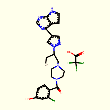 N#CCC(CN1CCN(C(=O)c2ccc(O)cc2F)CC1)n1cc(-c2ncnc3[nH]ccc23)cn1.O=C(O)C(F)(F)F